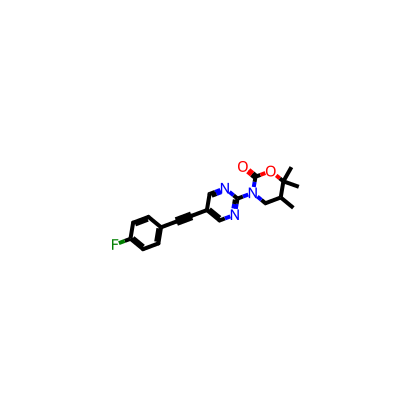 CC1CN(c2ncc(C#Cc3ccc(F)cc3)cn2)C(=O)OC1(C)C